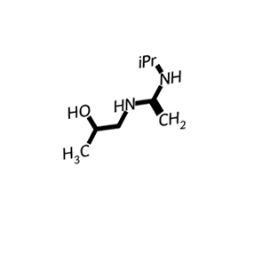 C=C(NCC(C)O)NC(C)C